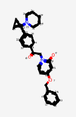 O=C(Cn1ccc(OCc2ccccc2)cc1=O)c1ccc(C2(N3CCCCC3)CC2)cc1